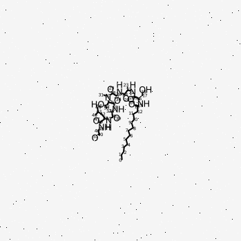 CCCCCCCCCCCCCC(=O)N[C@H](CO)C(=O)N[C@H](C)C(=O)NCC(=O)N(C)C(C(=O)N[C@@H](C)C(=O)NC(CC(C)C)C(=O)NCC=O)C(C)O